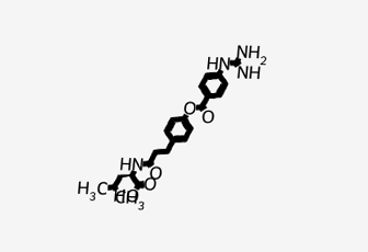 CC(C)C[C@@H](NC(=O)CCc1ccc(OC(=O)c2ccc(NC(=N)N)cc2)cc1)C(=O)O